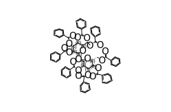 O=C(OC[C@H]1O[C@H](O[C@H]2O[C@H](COC(=O)c3ccccc3)[C@@H](OC(=O)c3ccccc3)[C@H](OC(=O)c3ccccc3)[C@H]2OC(=O)c2ccccc2)[C@H](OC(=O)c2ccccc2)[C@@H](OC(=O)c2ccccc2)[C@@H]1OC(=O)c1ccccc1)c1ccccc1